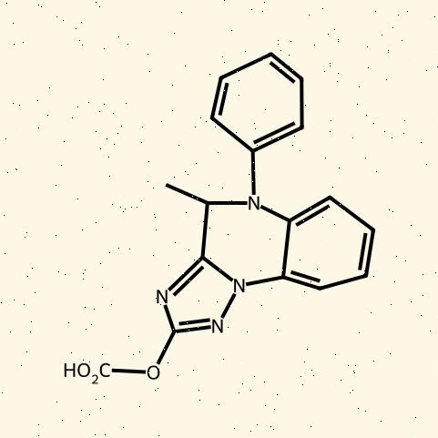 CC1c2nc(OC(=O)O)nn2-c2ccccc2N1c1ccccc1